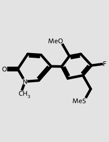 COc1cc(F)c(CSC)cc1-c1ccc(=O)n(C)c1